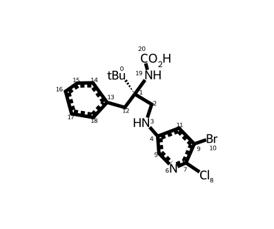 CC(C)(C)[C@](CNc1cnc(Cl)c(Br)c1)(Cc1ccccc1)NC(=O)O